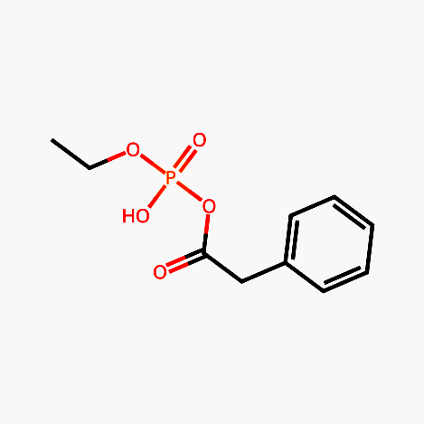 CCOP(=O)(O)OC(=O)Cc1ccccc1